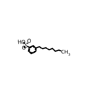 CCCCCCCCc1cccc(S(=O)(=O)O)c1